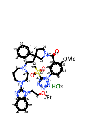 CCOCCn1c(N2CCCN(CCC3(c4ccccc4)CCN(C(=O)c4cc(-n5nnnc5S(C)(=O)=O)ccc4OC)C3)CC2)nc2ccccc21.Cl